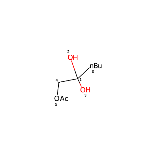 CCCCC(O)(O)COC(C)=O